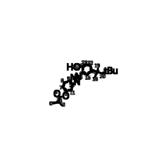 C=C(C)C(=O)Oc1ccc2c(c1)n1n(-c3cc(C(C)(C)CC(C)(C)C)ccc3O)n21